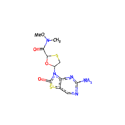 CON(C)C(=O)C1OC(n2c(=O)sc3cnc(N)nc32)CS1